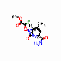 CC1=C[C@@H](C(N)=O)N2C[C@@H]1N(OC(F)C(=O)OC(C)C)C2=O